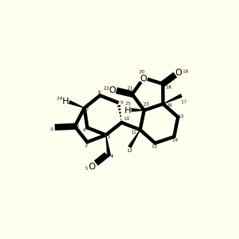 C=C1C[C@]2(C=O)C[C@H]1CC[C@@H]2[C@@]1(C)CCC[C@@]2(C)C(=O)OC(=O)[C@@H]12